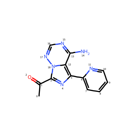 CC(=O)c1nc(-c2ccccn2)c2c(N)ncnn12